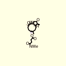 C=C1C(=O)C[C@H]2[C@H]1CC/C(COC(=O)CCC(=O)NC)=C\CC[C@@]1(C)O[C@@H]21